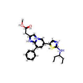 CCC(CC)Nc1ncc(-c2cc(-c3ccccc3)c3nc(CC(=O)OC)cn3c2)s1